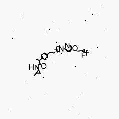 CC(C(=O)NC1CC1C)c1ccc(CC[C@@H]2CCN(c3ccc(OCC4CC4(F)F)cn3)C2)cc1